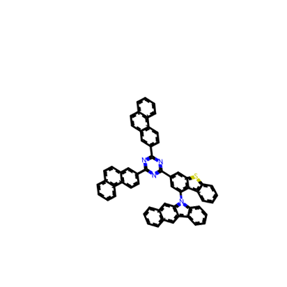 c1ccc2cc3c(cc2c1)c1ccccc1n3-c1cc(-c2nc(-c3ccc4c(ccc5ccccc54)c3)nc(-c3ccc4c(ccc5ccccc54)c3)n2)cc2sc3ccccc3c12